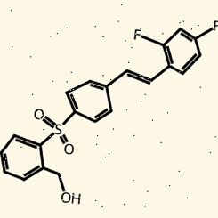 O=S(=O)(c1ccc(/C=C/c2ccc(F)cc2F)cc1)c1ccccc1CO